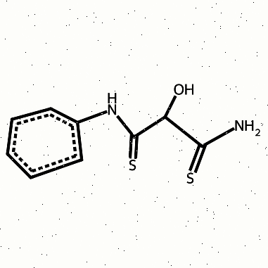 NC(=S)C(O)C(=S)Nc1ccccc1